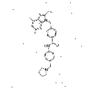 CCc1nc2c(C)cc(C)nc2n1Cc1ccc(C(=O)Nc2ccc(CN3CCCC3)cc2)cc1